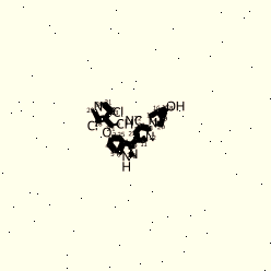 C[C@@H](Oc1ccc2[nH]nc(-c3cnc(N4CC5C(O)C5C4)c(C#N)c3)c2c1)c1c(Cl)cncc1Cl